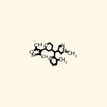 Cc1cccnc1C(C1C=NN(C)C1)C1CCOC(c2c(C)noc2C)C1